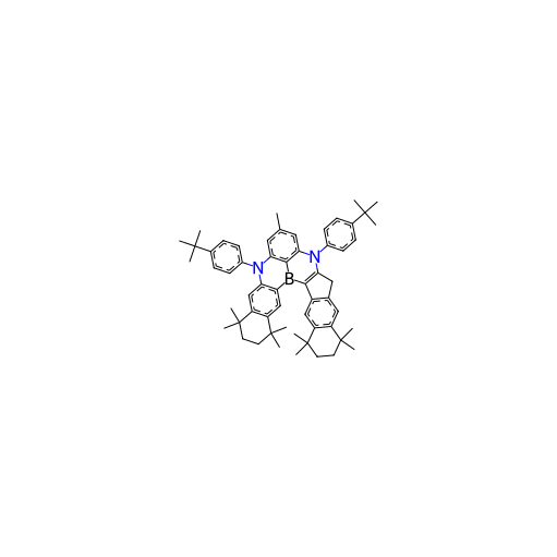 Cc1cc2c3c(c1)N(c1ccc(C(C)(C)C)cc1)c1cc4c(cc1B3C1=C(Cc3cc5c(cc31)C(C)(C)CCC5(C)C)N2c1ccc(C(C)(C)C)cc1)C(C)(C)CCC4(C)C